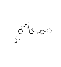 Cc1c(NC(=O)c2ccc(N3CCCCC3)cc2)cccc1-c1cn(C)c(=O)c(Nc2ccc(N3CCC(C(N)=O)CC3)cc2)n1